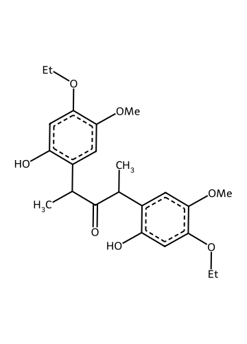 CCOc1cc(O)c(C(C)C(=O)C(C)c2cc(OC)c(OCC)cc2O)cc1OC